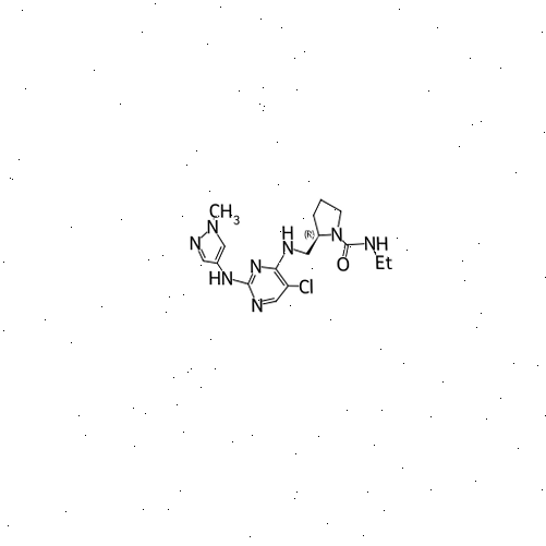 CCNC(=O)N1CCC[C@@H]1CNc1nc(Nc2cnn(C)c2)ncc1Cl